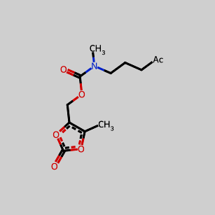 CC(=O)CCCN(C)C(=O)OCc1oc(=O)oc1C